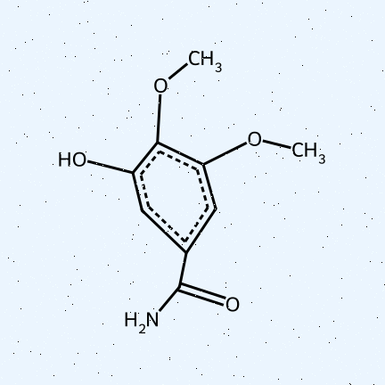 COc1cc(C(N)=O)cc(O)c1OC